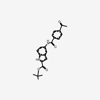 CC(=O)c1ccc(C(=O)Nc2ccc3[nH]c(C(=O)OC(C)(C)C)cc3c2)cc1